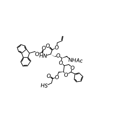 C=CCOC(=O)[C@H](CO[C@@H](CNC(C)=O)OC1COC(c2ccccc2)O[C@H]1COC(=O)CS)NC(=O)OCC1c2ccccc2-c2ccccc21